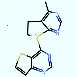 Cc1ncnc2c1CC[SH]2c1ncnc2ccsc12